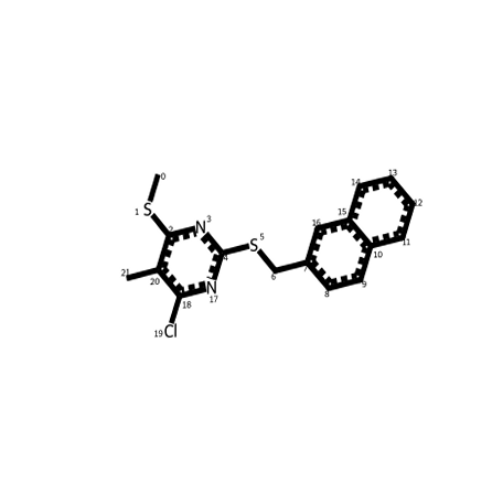 CSc1nc(SCc2ccc3ccccc3c2)nc(Cl)c1C